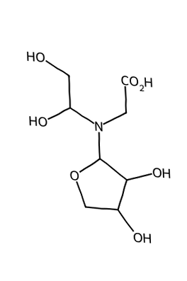 O=C(O)CN(C(O)CO)C1OCC(O)C1O